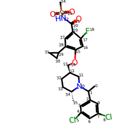 CC(c1cc(Cl)cc(Cl)c1)N1C[C@H](COc2cc(F)c(C(=O)NS(C)(=O)=O)cc2C2CC2)CC[C@H]1C